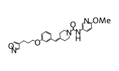 COc1ccc(NC(=O)N2CCC(=Cc3cccc(OCCCc4cnoc4)c3)CC2)cn1